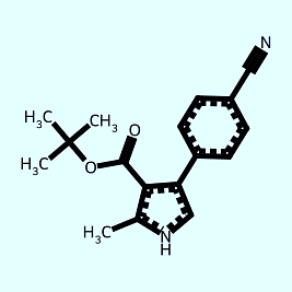 Cc1[nH]cc(-c2ccc(C#N)cc2)c1C(=O)OC(C)(C)C